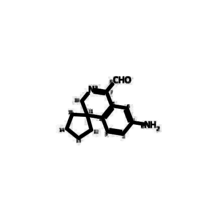 Nc1ccc2c(c1)C(C=O)=NCC21CCCC1